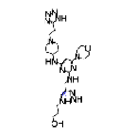 N=N/C(=C\NCCCO)CNc1nc(NC2CCN(CCc3nnn[nH]3)CC2)cc(N2CCOCC2)n1